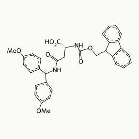 COc1ccc(C(NC(=O)C[C@@H](NC(=O)OCC2c3ccccc3-c3ccccc32)C(=O)O)c2ccc(OC)cc2)cc1